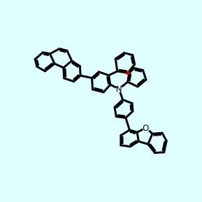 c1ccc(-c2cc(-c3ccc4c(ccc5ccccc54)c3)ccc2N(c2ccccc2)c2ccc(-c3cccc4c3oc3ccccc34)cc2)cc1